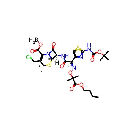 BOC(=O)C1=C(CCl)[C@@H](C)S[C@@H]2[C@H](NC(=O)/C(=N\OC(C)(C)C(=O)OCCCC)c3csc(NC(=O)OC(C)(C)C)n3)C(=O)N12